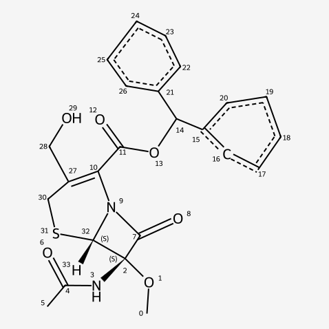 CO[C@@]1(NC(C)=O)C(=O)N2C(C(=O)OC(c3ccccc3)c3ccccc3)=C(CO)CS[C@H]21